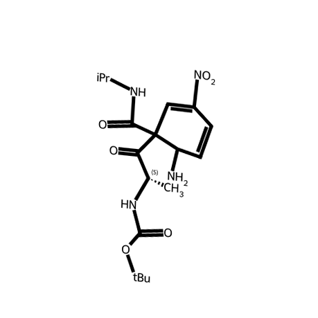 CC(C)NC(=O)C1(C(=O)[C@H](C)NC(=O)OC(C)(C)C)C=C([N+](=O)[O-])C=CC1N